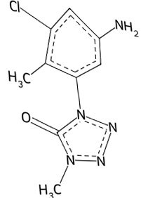 Cc1c(Cl)cc(N)cc1-n1nnn(C)c1=O